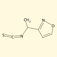 CC(N=C=S)c1ccon1